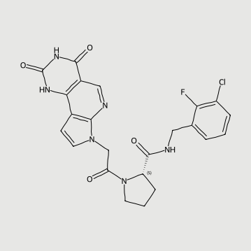 O=C(NCc1cccc(Cl)c1F)[C@@H]1CCCN1C(=O)Cn1ccc2c3[nH]c(=O)[nH]c(=O)c3cnc21